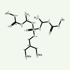 CCCOC(=O)OC(C)OP(=O)(OC(C)OC(=O)OCCC)SCC(CNC)CNC